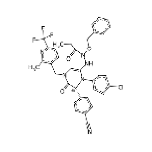 CCC(=O)N(NC1=CN(Cc2ccc(C(F)(F)F)nc2C)C(=O)[C@@H](c2ccc(C#N)cc2)N1c1ccc(Cl)cc1)OCc1ccccc1